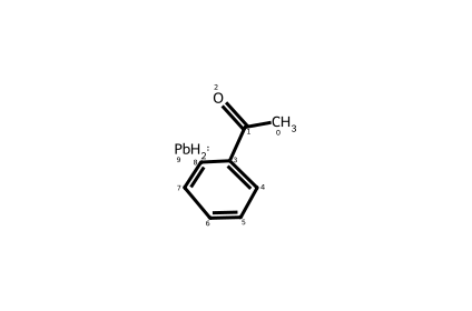 CC(=O)c1ccccc1.[PbH2]